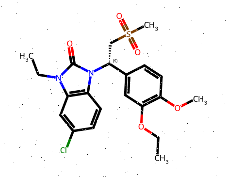 CCOc1cc([C@@H](CS(C)(=O)=O)n2c(=O)n(CC)c3cc(Cl)ccc32)ccc1OC